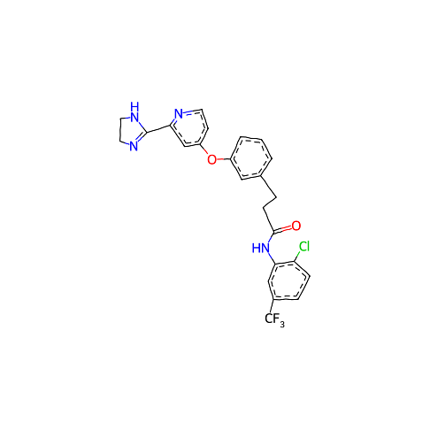 O=C(CCc1cccc(Oc2ccnc(C3=NCCN3)c2)c1)Nc1cc(C(F)(F)F)ccc1Cl